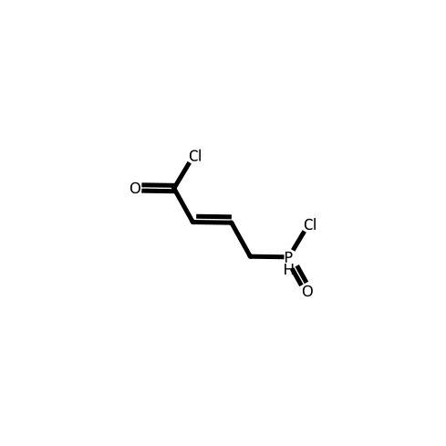 O=C(Cl)C=CC[PH](=O)Cl